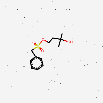 CC(C)(O)CCOS(=O)(=O)Cc1ccccc1